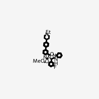 CCN1CCC(c2ccc(-c3ccc4ncn(C(c5nc6ccccc6[nH]5)c5cc(F)ccc5OCOC)c(=O)c4c3)cc2)CC1